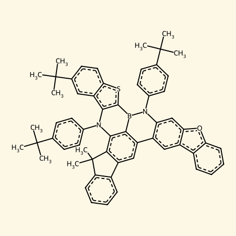 CC(C)(C)c1ccc(N2B3c4sc5ccc(C(C)(C)C)cc5c4N(c4ccc(C(C)(C)C)cc4)c4c3c(cc3c4C(C)(C)c4ccccc4-3)-c3cc4c(cc32)oc2ccccc24)cc1